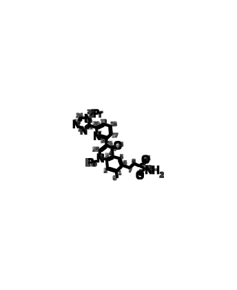 Cc1cc2c(cc1CCS(N)(=O)=O)c(=O)c(-c1cccc(-c3nncn3C(C)C)n1)cn2C(C)C